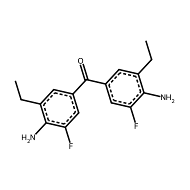 CCc1cc(C(=O)c2cc(F)c(N)c(CC)c2)cc(F)c1N